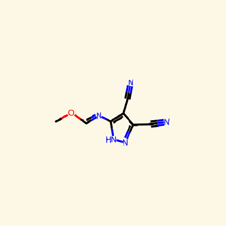 CO/C=N/c1[nH]nc(C#N)c1C#N